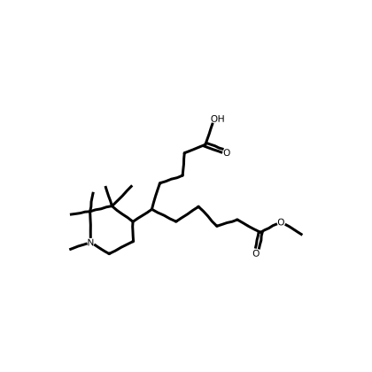 COC(=O)CCCCC(CCCC(=O)O)C1CCN(C)C(C)(C)C1(C)C